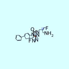 NC/C(=C\F)Cn1ncn(C2=CC=C(c3ccccc3)CC2(F)c2nnc[nH]2)c1=O